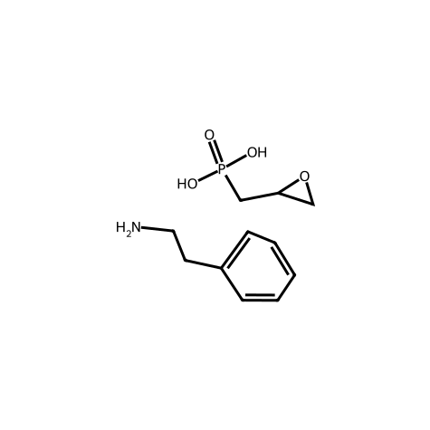 NCCc1ccccc1.O=P(O)(O)CC1CO1